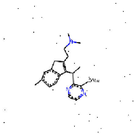 COc1nccnc1C(C)C1=C(CCN(C)C)Cc2cc(C)ccc21